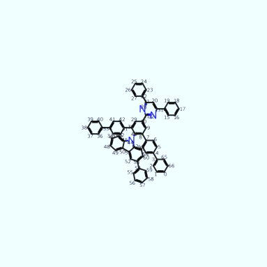 c1ccc(-c2ccc(-c3cc(-c4nc(-c5ccccc5)cc(-c5ccccc5)n4)cc(-c4ccc(-c5ccccc5)cc4)c3-n3c4ccccc4c4cc(-c5ccccc5)ccc43)cc2)cc1